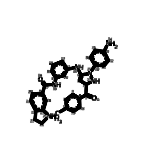 Cc1ccc(C(=O)C2C=C(Nc3cccc(NC(=O)c4ccc5c(c4)NCC5)c3)N(c3ccc(N)cc3)N2)cc1